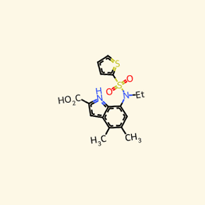 CCN(c1cc(C)c(C)c2cc(C(=O)O)[nH]c12)S(=O)(=O)c1cccs1